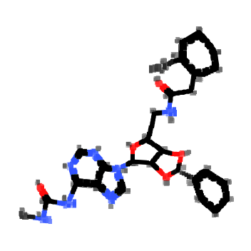 CCNC(=O)Nc1ncnc2c1ncn2C1OC(CNC(=O)Cc2ccccc2C(=O)O)C2O[C@H](c3ccccc3)OC21